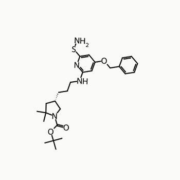 CC(C)(C)OC(=O)N1C[C@@H](CCCNc2cc(OCc3ccccc3)cc(SN)n2)CC1(C)C